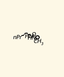 CCCC=C/C=C\C=C\NC(=O)Nc1ccccc1C